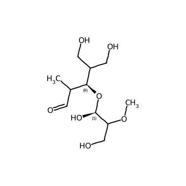 COC(CO)[C@@H](O)O[C@@H](C(C)C=O)C(CO)CO